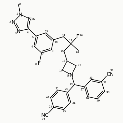 Cn1nnc(-c2cc(F)cc(CC(C)(F)CC3CN(C(c4ccc(C#N)cc4)c4cccc(C#N)c4)C3)c2)n1